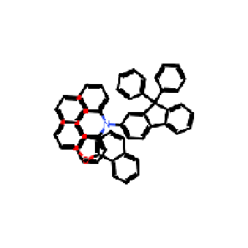 c1ccc(-c2ccccc2N(c2ccc3c(c2)C(c2ccccc2)(c2ccccc2)c2ccccc2-3)c2ccccc2-c2cccc3oc4c5ccccc5ccc4c23)cc1